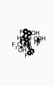 C#Cc1c(F)ccc2cc(O)cc(-c3nc4c5c(nc(OC[C@@]67CCCN6C[C@H](F)C7)nc5c3F)N(CCO)C(C(F)(F)F)CO4)c12.O=C(O)C(F)(F)F